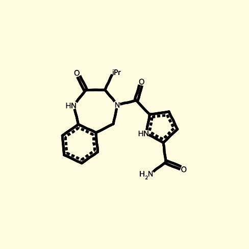 CC(C)C1C(=O)Nc2ccccc2CN1C(=O)c1ccc(C(N)=O)[nH]1